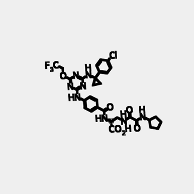 O=C(NC[C@H](NC(=O)c1ccc(Nc2nc(NC3(c4ccc(Cl)cc4)CC3)nc(OCC(F)(F)F)n2)cc1)C(=O)O)C(=O)NC1CCCC1